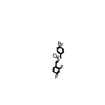 [O-][S+](C=Cc1ccc(F)cc1F)Cc1ccc(Br)cc1